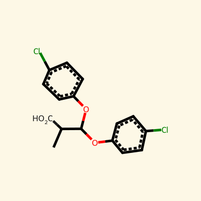 CC(C(=O)O)C(Oc1ccc(Cl)cc1)Oc1ccc(Cl)cc1